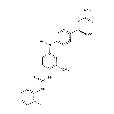 COC(=O)C[C@@H](NC(C)=O)c1ccc(N(C(C)=O)c2ccc(NC(=O)Nc3ccccc3C)c(OC)c2)cc1